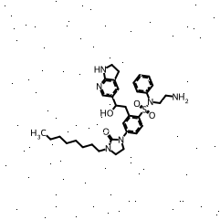 CCCCCCCCN1CCN(c2ccc(S(=O)(=O)N(CCN)c3ccccc3)c(CC(O)c3cnc4c(c3)CCN4)c2)C1=O